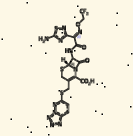 Nc1nc(/C(=N\OCC(F)(F)F)C(=O)NC2C(=O)N3C(C(=O)O)=C(CSc4ccc5nnnn5n4)CS[C@H]23)ns1